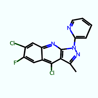 Cc1nn(-c2ccccn2)c2nc3cc(Cl)c(F)cc3c(Cl)c12